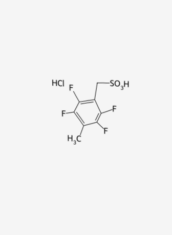 Cc1c(F)c(F)c(CS(=O)(=O)O)c(F)c1F.Cl